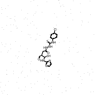 O=CC(CC(=O)NNC(=S)Nc1ccc(Cl)cc1)C(S)Nc1nccs1